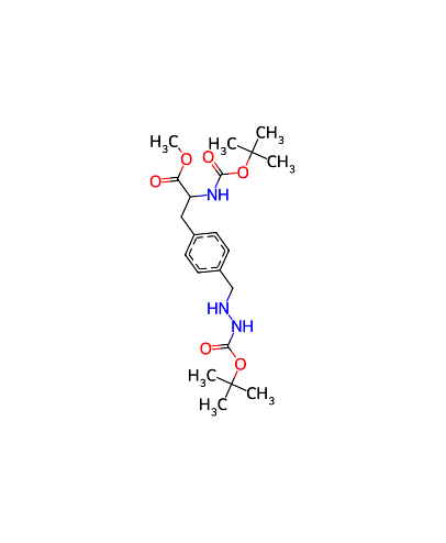 COC(=O)C(Cc1ccc(CNNC(=O)OC(C)(C)C)cc1)NC(=O)OC(C)(C)C